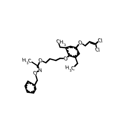 CCc1cc(OCC=C(Cl)Cl)cc(CC)c1OCCCCOC(C)=NOCc1ccccc1